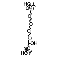 CC(C)P(=O)(O)OCCOCCOCCOCCOCC(O)COP(=O)(O)C(C)C